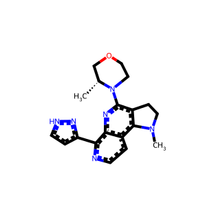 C[C@@H]1COCCN1c1nc2c(-c3cc[nH]n3)nccc2c2c1CCN2C